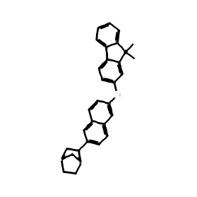 CC1(C)c2ccccc2-c2ccc(Nc3ccc4cc(C5CC6CCC5C6)ccc4c3)cc21